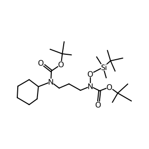 CC(C)(C)OC(=O)N(CCCN(C(=O)OC(C)(C)C)C1CCCCC1)O[Si](C)(C)C(C)(C)C